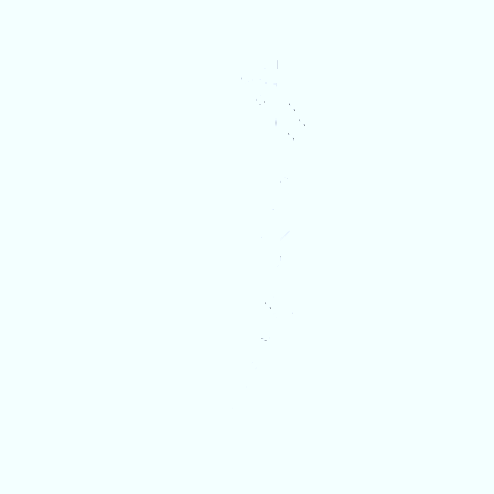 CS(=O)(=O)Oc1cn(CCOCc2ccc(OCc3csc(C=Cc4ccc(OC(F)(F)F)cc4)n3)cc2)nn1